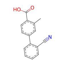 Cc1cc(-c2ccccc2C#N)ccc1C(=O)O